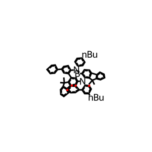 CCCCc1ccc(N2B3c4ccc5c(c4N(c4ccc(CCCC)cc4-c4ccccc4)c4cc6c(c(c43)-c3cc(-c4ccccc4)ccc32)C(C)(C)c2ccccc2-6)C(C)(C)c2ccccc2-5)cc1